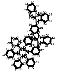 c1ccc(B2N(c3ccccc3)B(c3ccccc3)N(c3ncncn3)B(c3ccccc3)N2c2cccc(-n3c4ccccc4n4c5cc(-n6c7ccccc7n7c8ccccc8nc67)ccc5nc34)c2)cc1